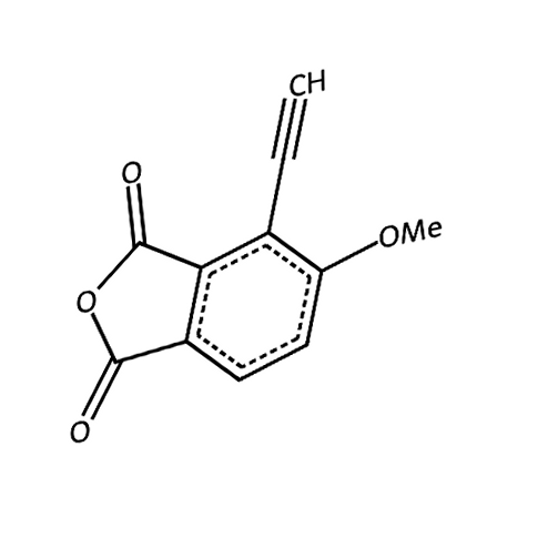 C#Cc1c(OC)ccc2c1C(=O)OC2=O